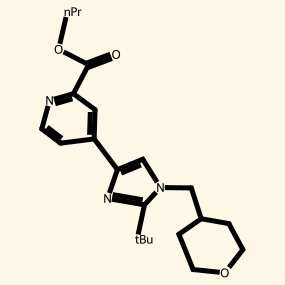 CCCOC(=O)c1cc(-c2cn(CC3CCOCC3)c(C(C)(C)C)n2)ccn1